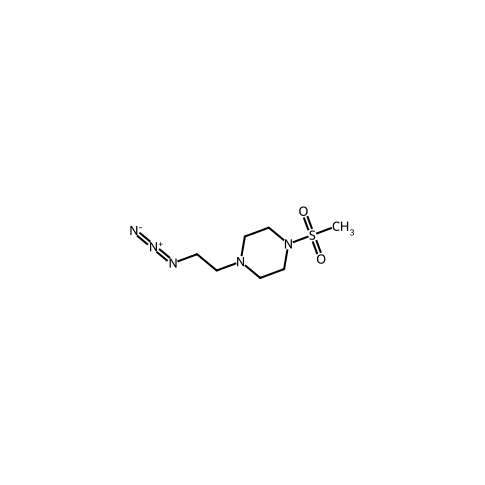 CS(=O)(=O)N1CCN(CCN=[N+]=[N-])CC1